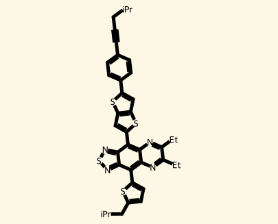 CCc1nc2c(-c3ccc(CC(C)C)s3)c3nsnc3c(-c3cc4sc(-c5ccc(C#CCC(C)C)cc5)cc4s3)c2nc1CC